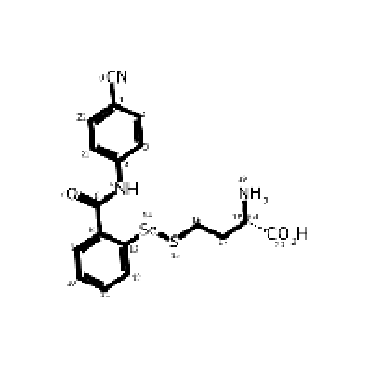 N#Cc1ccc(NC(=O)c2ccccc2[Se]SCC[C@H](N)C(=O)O)cc1